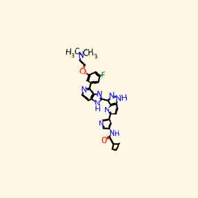 CN(C)CCOc1cc(F)cc(-c2nccc3[nH]c(-c4n[nH]c5ccc(-c6cncc(NC(=O)C7CCC7)c6)nc45)nc23)c1